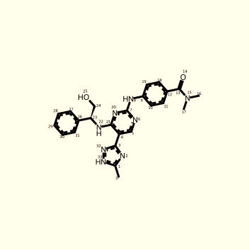 Cc1nc(-c2cnc(Nc3ccc(C(=O)N(C)C)cc3)nc2N[C@H](CO)c2ccccc2)n[nH]1